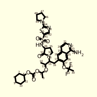 CC(OC(=O)OC1CCCCC1)OC(C)C(Cc1cc2ccnc(N)c2cc1OC(C)(F)F)N1CCC(NS(=O)(=O)c2cnc(N3CCCC3)s2)C1=O